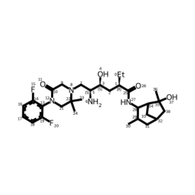 CC[C@H](C[C@H](O)[C@@H](N)CN1CC(=O)N(c2c(F)cccc2F)CC1(C)C)C(=O)NC1C(C)CC2CC1C(C)(O)C2